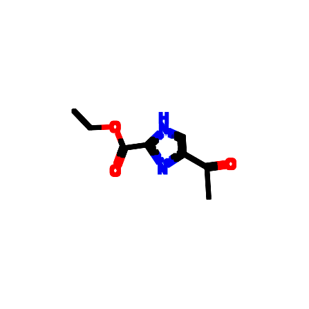 CCOC(=O)c1nc(C(C)=O)c[nH]1